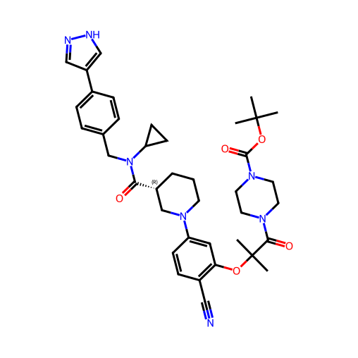 CC(C)(C)OC(=O)N1CCN(C(=O)C(C)(C)Oc2cc(N3CCC[C@@H](C(=O)N(Cc4ccc(-c5cn[nH]c5)cc4)C4CC4)C3)ccc2C#N)CC1